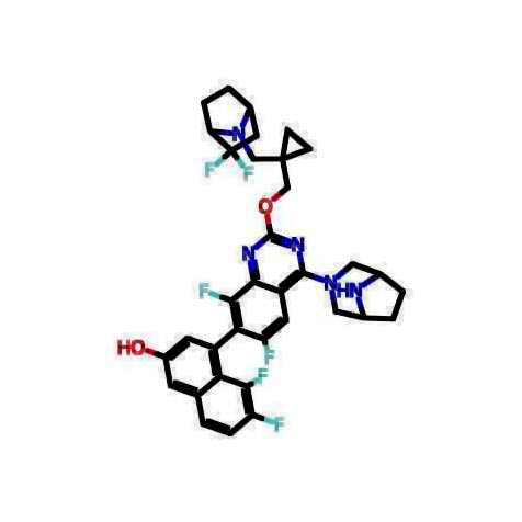 Oc1cc(-c2c(F)cc3c(N4CC5CCC(C4)N5)nc(OCC4(CN5C6CCC5C(F)(F)C6)CC4)nc3c2F)c2c(F)c(F)ccc2c1